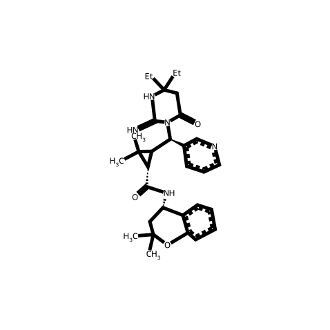 CCC1(CC)CC(=O)N([C@@H](c2cccnc2)C2[C@H](C(=O)N[C@H]3CC(C)(C)Oc4ccccc43)C2(C)C)C(=N)N1